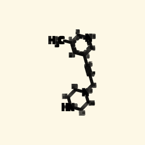 Cc1cncc(C#CCN2CCNCC2)c1